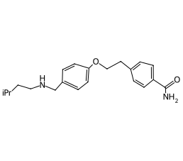 CC(C)CCNCc1ccc(OCCc2ccc(C(N)=O)cc2)cc1